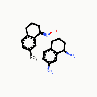 Nc1ccc2c(c1)C(N)CCC2.O=[N+]([O-])c1ccc2c(c1)C(=NO)CCC2